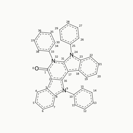 O=c1c2c3ccccc3n(-c3ccccc3)c2c2c3ccccc3n(-c3ccccc3)c2n1-c1ccccc1